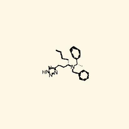 CCCC[C@@H](CCc1nn[nH]n1)N(Cc1ccccc1)[C@@H](C)c1ccccc1